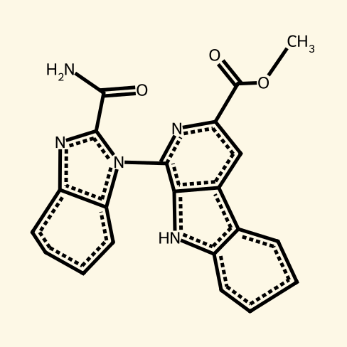 COC(=O)c1cc2c([nH]c3ccccc32)c(-n2c(C(N)=O)nc3ccccc32)n1